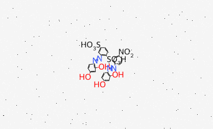 O=S(=O)(O)c1ccc(S(=O)(=O)O)c(N=Nc2ccc(O)cc2O)c1.O=[N+]([O-])c1ccc(N=Nc2ccc(O)cc2O)cc1